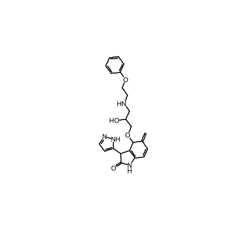 C=C1C=CC2=C(C1OCC(O)CNCCOc1ccccc1)C(c1ccn[nH]1)C(=O)N2